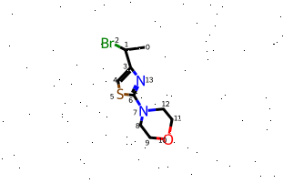 CC(Br)c1csc(N2CCOCC2)n1